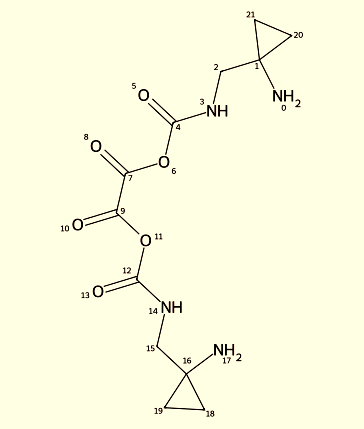 NC1(CNC(=O)OC(=O)C(=O)OC(=O)NCC2(N)CC2)CC1